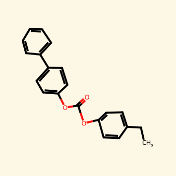 CCc1ccc(OC(=O)Oc2ccc(-c3ccccc3)cc2)cc1